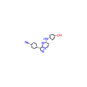 N#Cc1ccc(-c2cnn3ccc(Nc4ccc(O)cc4)nc23)cc1